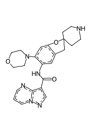 O=C(Nc1cc2c(cc1N1CCOCC1)OC1(CCNCC1)C2)c1cnn2cccnc12